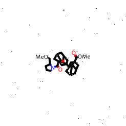 COCC1CCCN1C(=O)C12CC3CC(C1)CC(C14CC5CC(CC(C(=O)OC)(C5)C1)C4)(C3)C2